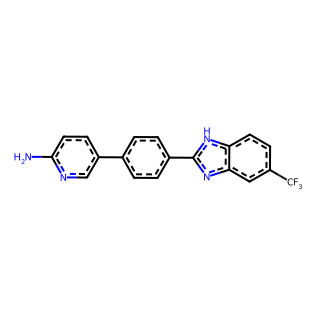 Nc1ccc(-c2ccc(-c3nc4cc(C(F)(F)F)ccc4[nH]3)cc2)cn1